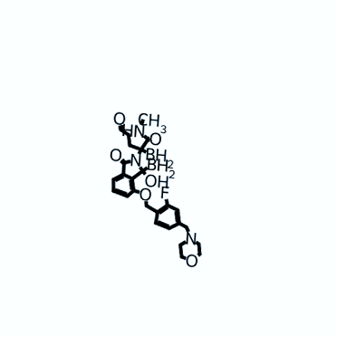 BC(CCC=O)(C(=O)NC)N1C(=O)c2cccc(OCc3ccc(CN4CCOCC4)cc3F)c2C1(B)O